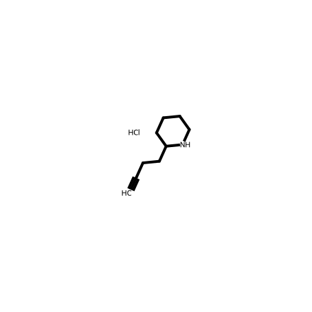 C#CCCC1CCCCN1.Cl